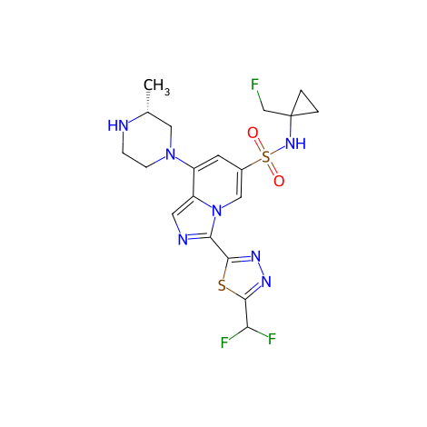 C[C@@H]1CN(c2cc(S(=O)(=O)NC3(CF)CC3)cn3c(-c4nnc(C(F)F)s4)ncc23)CCN1